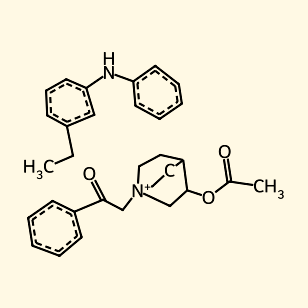 CC(=O)OC1C[N+]2(CC(=O)c3ccccc3)CCC1CC2.CCc1cccc(Nc2ccccc2)c1